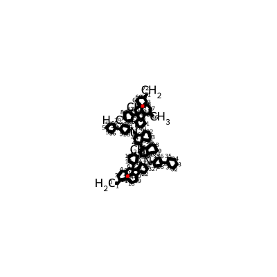 C=Cc1ccc(CC2(c3ccc(C)cc3)c3ccccc3-c3ccc(N(c4ccc(-c5ccccc5)cc4)c4ccc(-c5ccc(N(c6ccc(-c7ccccc7)cc6)c6ccc7c(c6)C(CC6=CCC(C=C)CC6)(c6ccc(C)cc6C)C6=C7C(C)=CCC6)c6ccccc56)c5ccccc45)cc32)cc1